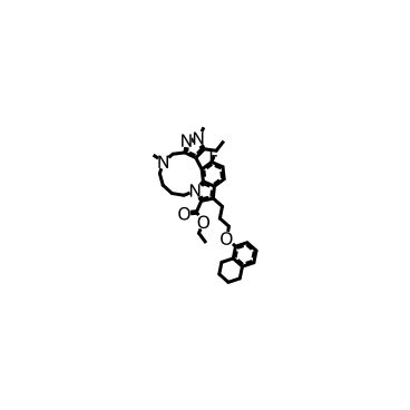 CCOC(=O)c1c(CCCOc2cccc3c2CCCC3)c2ccc(F)c3c2n1CCCCN(C)Cc1nn(C)c(CC)c1-3